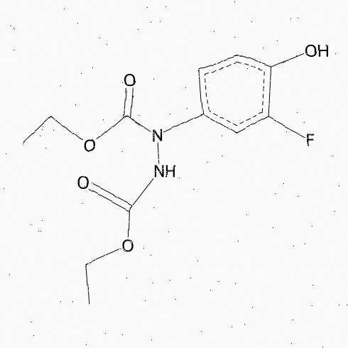 CCOC(=O)NN(C(=O)OCC)c1ccc(O)c(F)c1